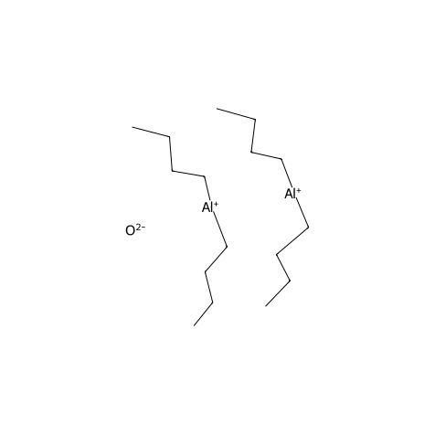 CCC[CH2][Al+][CH2]CCC.CCC[CH2][Al+][CH2]CCC.[O-2]